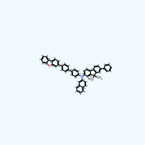 CC1(C)c2cc(-c3ccccc3)ccc2-c2ccc(N(c3ccc(-c4ccc(-c5ccc6c(c5)oc5ccccc56)cc4)cc3)c3ccc4ccccc4c3)cc21